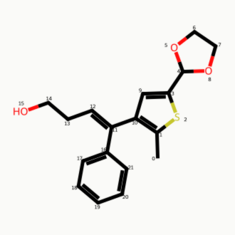 Cc1sc(C2OCCO2)cc1/C(=C/CCO)c1ccccc1